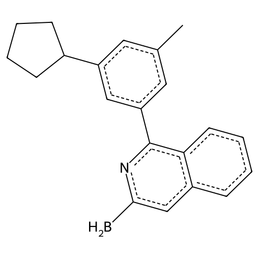 Bc1cc2ccccc2c(-c2cc(C)cc(C3CCCC3)c2)n1